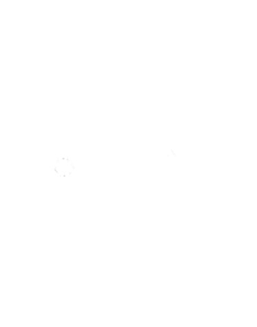 CC1CCC(/C=C/C2CCC(OCC3COC(C(F)(F)Oc4cc(F)c(C(F)(F)F)c(F)c4)OC3)CC2)CC1